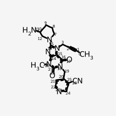 CC#CCn1c(N2CCCC(N)C2)nc2c1c(=O)n(Cc1ccncc1C#N)c(=O)n2C